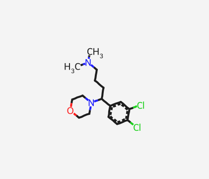 CN(C)CCCC(c1ccc(Cl)c(Cl)c1)N1CCOCC1